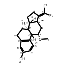 CO[C@H]1C[C@]2(C)C(=C(F)F)CC[C@H]2[C@@H]2CCc3cc(O)ccc3[C@H]21